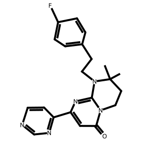 CC1(C)CCn2c(nc(-c3ccncn3)cc2=O)N1CCc1ccc(F)cc1